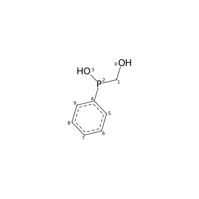 OCP(O)c1ccccc1